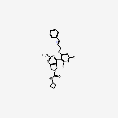 Nc1nc2c(c(-c3c(Cl)cc(Cl)cc3OC/C=C/c3ccccc3)n1)CN(C(=O)NC1CCC1)C2